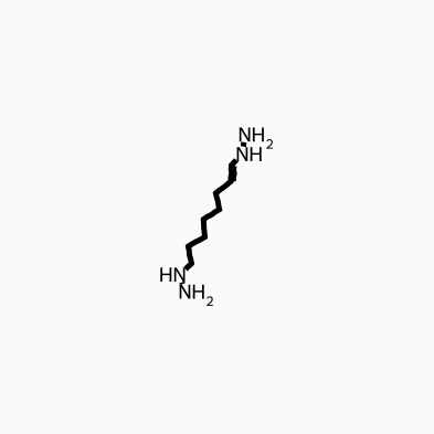 NNC=CCCCCCCNN